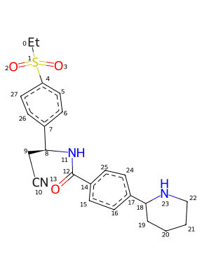 CCS(=O)(=O)c1ccc([C@H](CC#N)NC(=O)c2ccc(C3CCCCN3)cc2)cc1